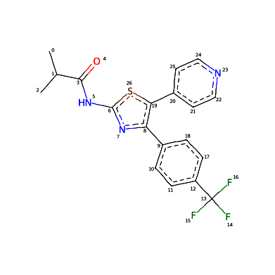 CC(C)C(=O)Nc1nc(-c2ccc(C(F)(F)F)cc2)c(-c2ccncc2)s1